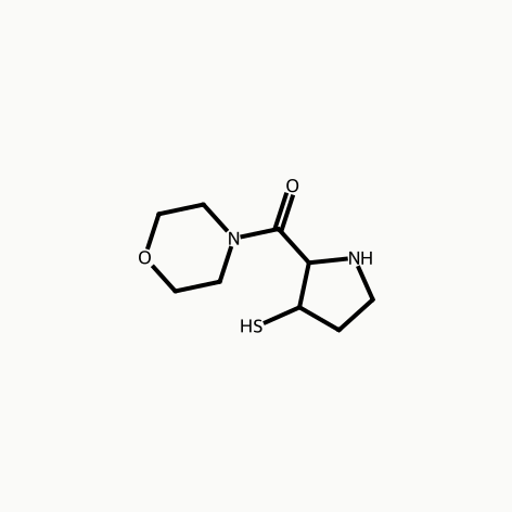 O=C(C1NCCC1S)N1CCOCC1